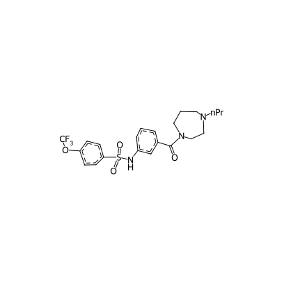 CCCN1CCCN(C(=O)c2cccc(NS(=O)(=O)c3ccc(OC(F)(F)F)cc3)c2)CC1